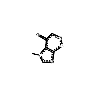 Cn1cnc2sncc(=O)c21